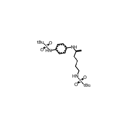 C=C(CCCCNS(=O)(=O)C(C)(C)C)Nc1ccc(NS(=O)(=O)C(C)(C)C)cc1